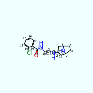 CCOC(=O)N1C2CCC1CC(NCCNC(=O)c1ccccc1Cl)C2